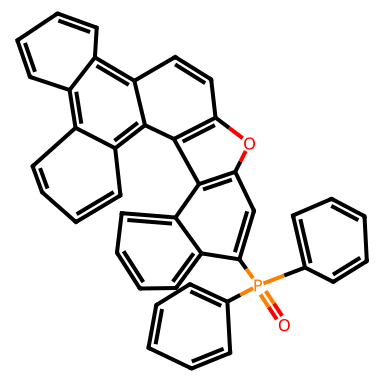 O=P(c1ccccc1)(c1ccccc1)c1cc2oc3ccc4c5ccccc5c5ccccc5c4c3c2c2ccccc12